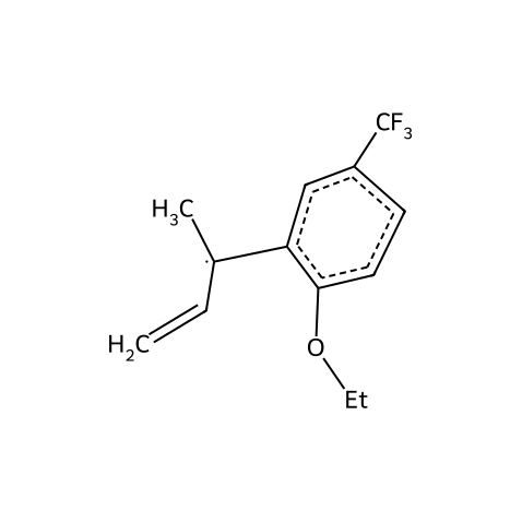 C=C[C](C)c1cc(C(F)(F)F)ccc1OCC